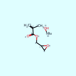 C=C(C)C(=O)OCC1CO1.CCCCO